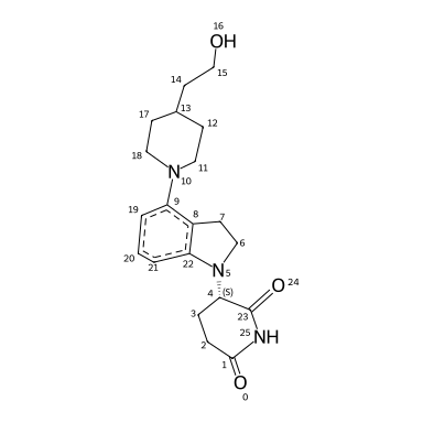 O=C1CC[C@H](N2CCc3c(N4CCC(CCO)CC4)cccc32)C(=O)N1